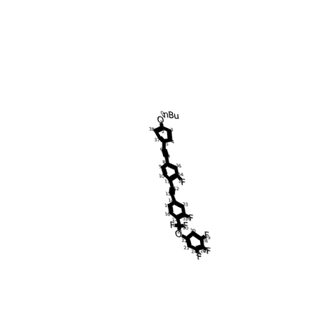 CCCCOc1ccc(C#Cc2ccc(C#Cc3ccc(C(F)(F)Oc4cc(F)c(F)c(F)c4)c(F)c3)c(F)c2)cc1